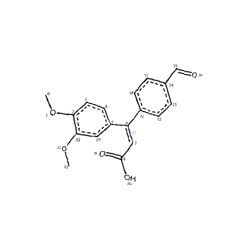 COc1ccc(/C(=C\C(=O)O)c2ccc(C=O)cc2)cc1OC